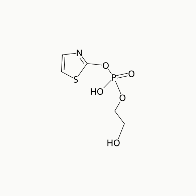 O=P(O)(OCCO)Oc1nccs1